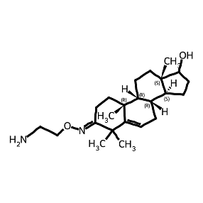 CC1(C)C2=CC[C@@H]3[C@@H](CC[C@]4(C)C(O)CC[C@@H]34)[C@@]2(C)CCC1=NOCCN